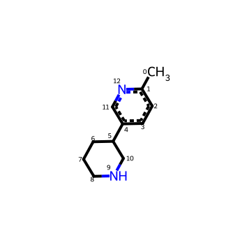 Cc1ccc(C2CCCNC2)cn1